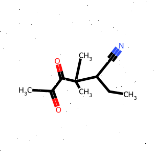 CCC(C#N)C(C)(C)C(=O)C(C)=O